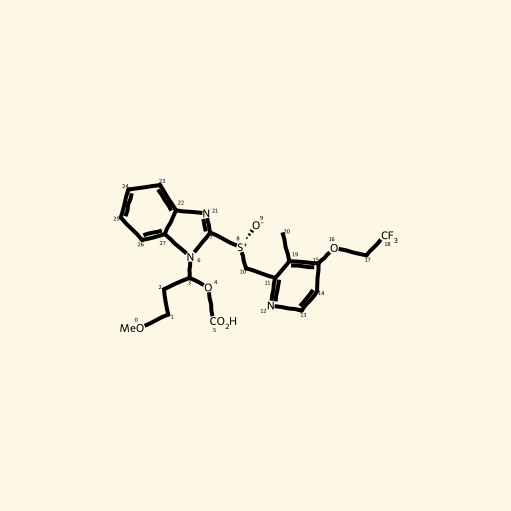 COCCC(OC(=O)O)n1c([S@+]([O-])Cc2nccc(OCC(F)(F)F)c2C)nc2ccccc21